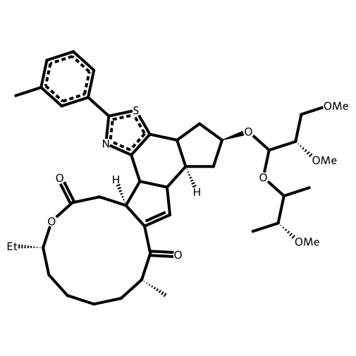 CC[C@H]1CCCC[C@@H](C)C(=O)C2=CC3C(c4nc(-c5cccc(C)c5)sc4C4C[C@@H](OC(OC(C)[C@@H](C)OC)[C@H](COC)OC)C[C@H]43)[C@@H]2CC(=O)O1